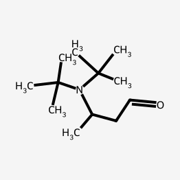 CC(CC=O)N(C(C)(C)C)C(C)(C)C